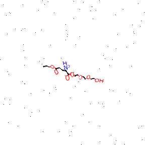 C=CCOC(=O)CC[C@H](N)C(=O)OCCOCCOCCO